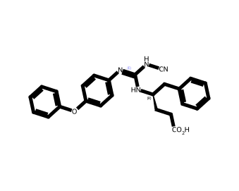 N#CN/C(=N/c1ccc(Oc2ccccc2)cc1)N[C@H](CCC(=O)O)Cc1ccccc1